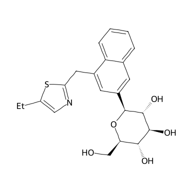 CCc1cnc(Cc2cc([C@@H]3O[C@H](CO)[C@@H](O)[C@H](O)[C@H]3O)cc3ccccc23)s1